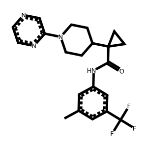 Cc1cc(NC(=O)C2(C3CCN(c4cnccn4)CC3)CC2)cc(C(F)(F)F)c1